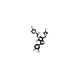 O=C(Cn1cc(CN2CC(F)C2)c2scc(-c3ccc(F)c(Cl)c3)c2c1=O)N1CCC(F)C1